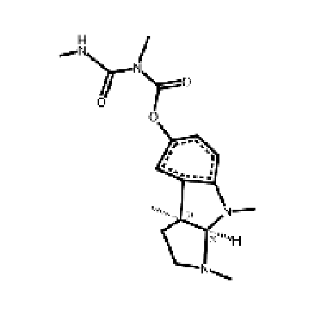 CNC(=O)N(C)C(=O)Oc1ccc2c(c1)[C@]1(C)CCN(C)[C@@H]1N2C